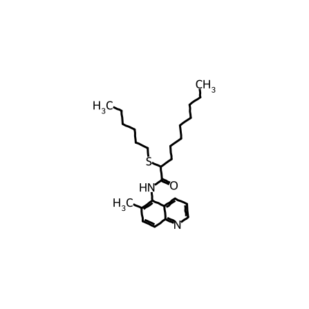 CCCCCCCCC(SCCCCCC)C(=O)Nc1c(C)ccc2ncccc12